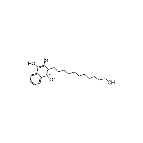 [O-][n+]1c(CCCCCCCCCCCO)c(Br)c(O)c2ccccc21